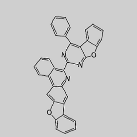 c1ccc(-c2nc(-c3nc4cc5c(cc4c4ccccc34)oc3ccccc35)nc3oc4ccccc4c23)cc1